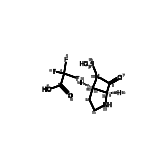 O=C(O)C(F)(F)F.O=C1[C@H]2NCC[C@H]2N1S(=O)(=O)O